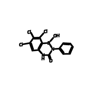 O=C1Nc2cc(Cl)c(Cl)c(Cl)c2B(O)N1c1ccccc1